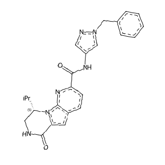 CC(C)[C@H]1CNC(=O)c2cc3ccc(C(=O)Nc4cnn(Cc5ccccc5)c4)nc3n21